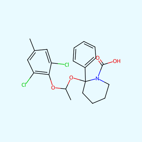 Cc1cc(Cl)c(OC(C)OC2(c3ccccc3)CCCCN2C(=O)O)c(Cl)c1